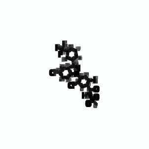 CS(=O)(=O)NC(=O)c1cc(Cl)c(-n2nc(-c3cccc(C(F)(F)F)c3)c3cc(Cl)ccc32)cc1F